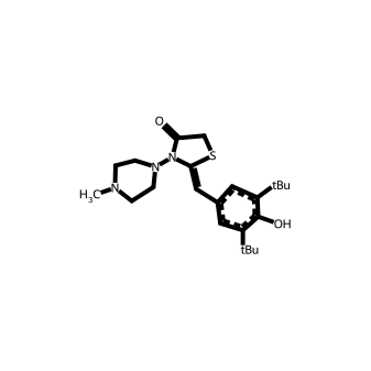 CN1CCN(N2C(=O)CSC2=Cc2cc(C(C)(C)C)c(O)c(C(C)(C)C)c2)CC1